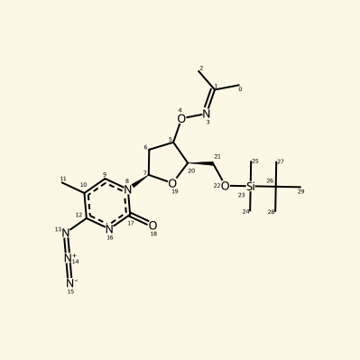 CC(C)=NOC1C[C@H](n2cc(C)c(N=[N+]=[N-])nc2=O)O[C@@H]1CO[Si](C)(C)C(C)(C)C